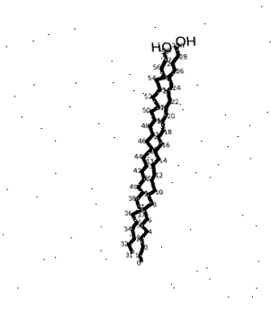 CCCCCCCCCCCCCCCCCCCCCCCCCCCCCCO.CCCCCCCCCCCCCCCCCCCCCCCCCCCCO